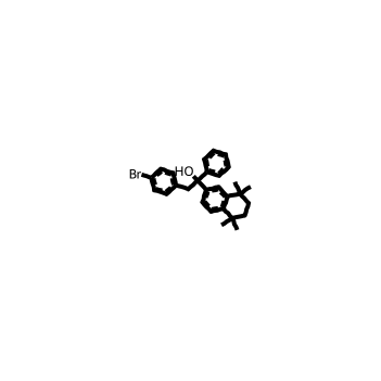 CC1(C)CCC(C)(C)c2cc(C(O)(Cc3ccc(Br)cc3)c3ccccc3)ccc21